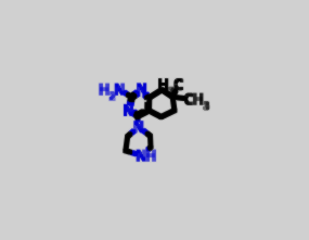 CC1(C)CCc2c(nc(N)nc2N2CCNCC2)C1